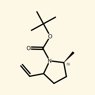 C=CC1CC[C@H](C)N1C(=O)OC(C)(C)C